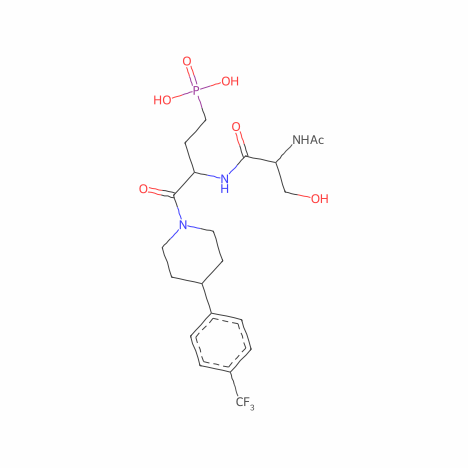 CC(=O)NC(CO)C(=O)NC(CCP(=O)(O)O)C(=O)N1CCC(c2ccc(C(F)(F)F)cc2)CC1